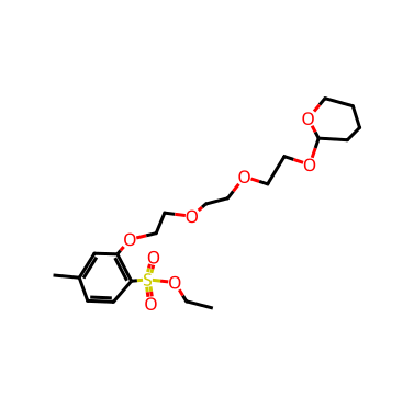 CCOS(=O)(=O)c1ccc(C)cc1OCCOCCOCCOC1CCCCO1